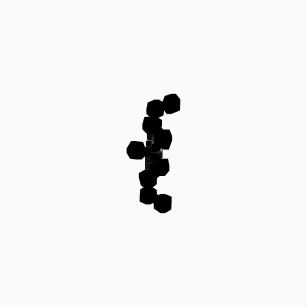 c1ccc(-c2cccc(-c3ccc4oc5c(-c6nc(-c7ccccc7)nc(-c7cccc8c7sc7ccc(-c9cccc(-c%10ccccc%10)c9)cc78)n6)cccc5c4c3)c2)cc1